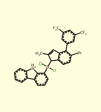 CC1=Cc2c(ccc(C(C)C)c2-c2cc(C(F)(F)F)cc(C(F)(F)F)c2)[CH]1[Zr]([Cl])([Cl])[c]1cccc2c1[SiH2]c1ccccc1-2